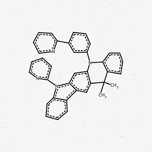 CC1(C)c2ccccc2N(c2cccc(-c3ccccn3)c2)c2cc3c(cc21)c1ccccc1n3-c1ccccn1